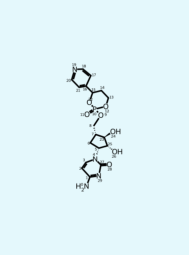 Nc1ccn([C@@H]2C[C@H](COP3(=O)OCCC(c4ccncc4)O3)[C@@H](O)[C@@H]2O)c(=O)n1